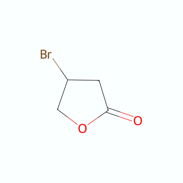 O=C1CC(Br)CO1